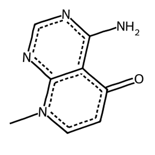 Cn1ccc(=O)c2c(N)ncnc21